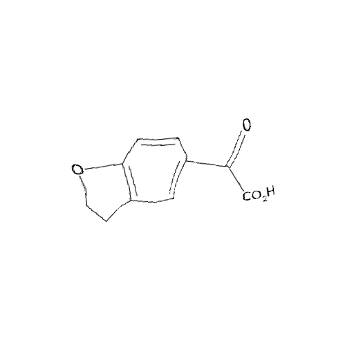 O=C(O)C(=O)c1ccc2c(c1)CCO2